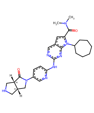 CN(C)C(=O)c1cc2cnc(Nc3ccc(N4C[C@@H]5CNC[C@@H]5C4=O)cn3)nc2n1C1CCCCCC1